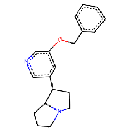 c1ccc(COc2cncc(C3CCN4CCCC34)c2)cc1